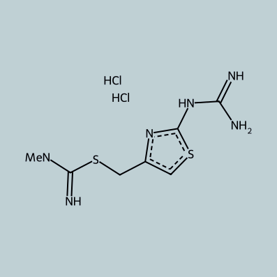 CNC(=N)SCc1csc(NC(=N)N)n1.Cl.Cl